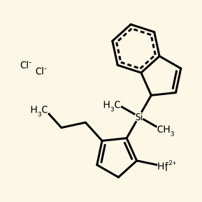 CCCC1=CC[C]([Hf+2])=C1[Si](C)(C)C1C=Cc2ccccc21.[Cl-].[Cl-]